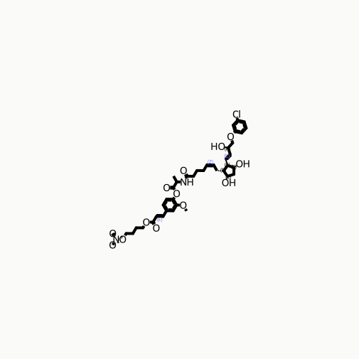 COc1cc(/C=C/C(=O)OCCCCO[N+](=O)[O-])ccc1OC(=O)C(C)NC(=O)CCC/C=C\C[C@@H]1[C@@H](/C=C/[C@@H](O)COc2cccc(Cl)c2)[C@H](O)C[C@@H]1O